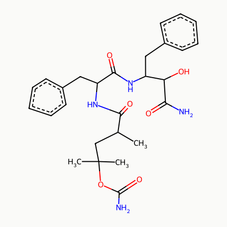 CC(CC(C)(C)OC(N)=O)C(=O)NC(Cc1ccccc1)C(=O)NC(Cc1ccccc1)C(O)C(N)=O